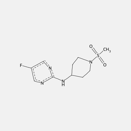 CS(=O)(=O)N1CCC(Nc2ncc(F)cn2)CC1